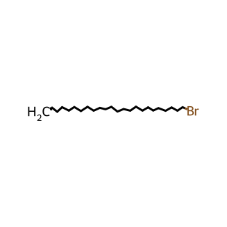 C=CCCCCCCCCCCCCCCCCCCCCCCBr